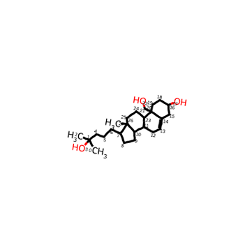 CC(C)(O)CCCC1CCC2C3CC=C4CC(O)CCC4(CO)C3CCC12C